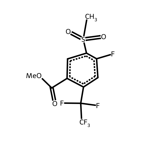 COC(=O)c1cc(S(C)(=O)=O)c(F)cc1C(F)(F)C(F)(F)F